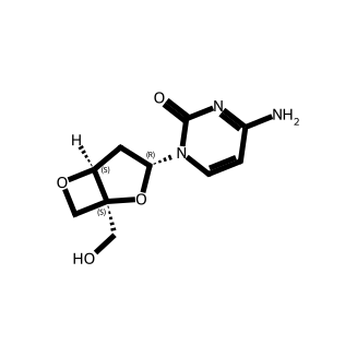 Nc1ccn([C@H]2C[C@@H]3OC[C@]3(CO)O2)c(=O)n1